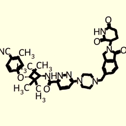 Cc1cc(O[C@H]2C(C)(C)[C@H](NC(=O)c3ccc(N4CCN(Cc5ccc6c(c5)CN(C5CCC(=O)NC5=O)C6=O)CC4)nn3)C2(C)C)ccc1C#N